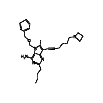 CCCCc1nc(N)c2c(n1)c(C#CCCCCN1CCC1)c(C)n2COCc1ccccc1